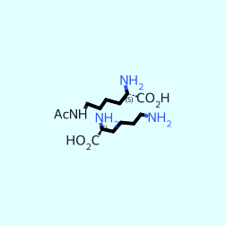 CC(=O)NCCCC[C@H](N)C(=O)O.NCCCC[C@H](N)C(=O)O